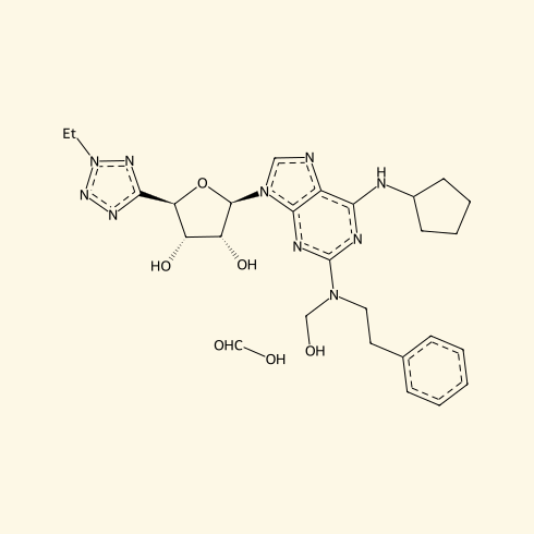 CCn1nnc([C@H]2O[C@@H](n3cnc4c(NC5CCCC5)nc(N(CO)CCc5ccccc5)nc43)[C@H](O)[C@@H]2O)n1.O=CO